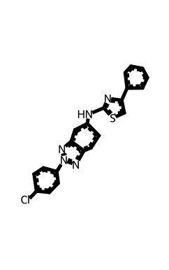 Clc1ccc(-n2nc3ccc(Nc4nc(-c5ccccc5)cs4)cc3n2)cc1